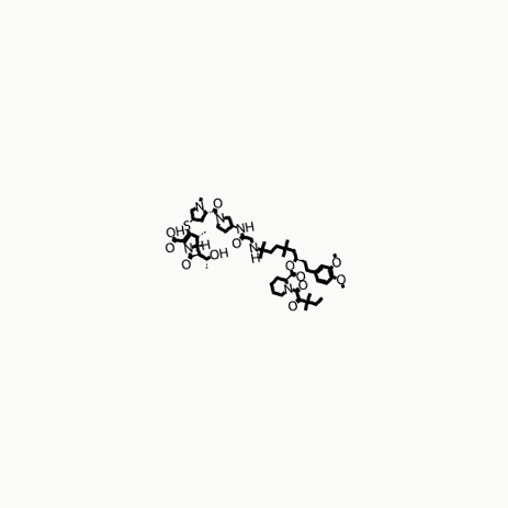 CCC(C)(C)C(=O)C(=O)N1CCCC[C@H]1C(=O)O[C@H](CCc1ccc(OC)c(OC)c1)CC(C)(C)CCC(C)(C)NCC(=O)N[C@H]1CCN(C(=O)[C@@H]2C[C@H](SC3=C(C(=O)O)N4C(=O)[C@H]([C@@H](C)O)[C@H]4[C@H]3C)CN2C)C1